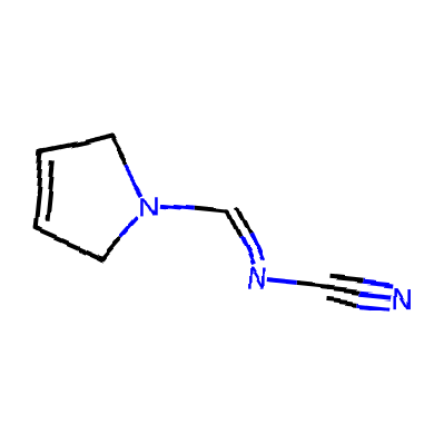 N#CN=CN1CC=CC1